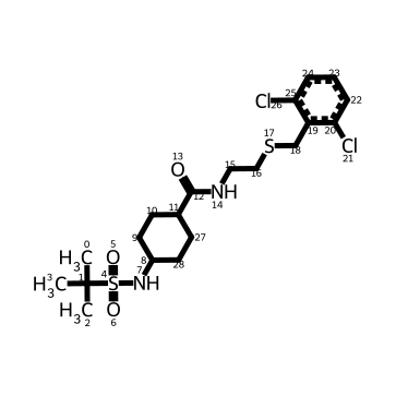 CC(C)(C)S(=O)(=O)NC1CCC(C(=O)NCCSCc2c(Cl)cccc2Cl)CC1